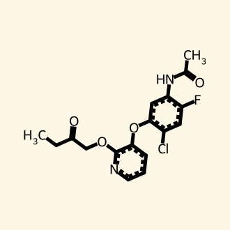 CCC(=O)COc1ncccc1Oc1cc(NC(C)=O)c(F)cc1Cl